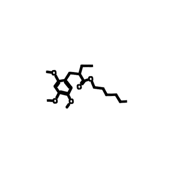 CCCCCCOC(=O)C(CC)Cc1cc(OC)c(OC)cc1OC